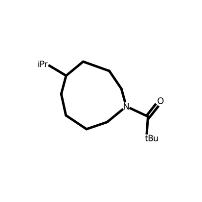 CC(C)C1CCCCN(C(=O)C(C)(C)C)CCC1